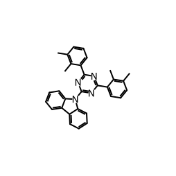 Cc1cccc(-c2nc(-c3cccc(C)c3C)nc(-n3c4ccccc4c4ccccc43)n2)c1C